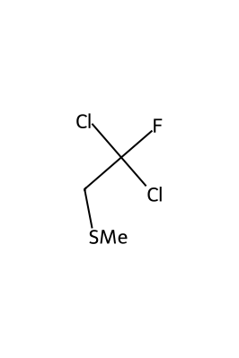 [CH2]SCC(F)(Cl)Cl